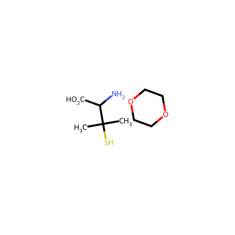 C1COCCO1.CC(C)(S)C(N)C(=O)O